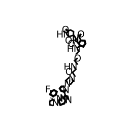 O=C(CNCCOCCNc1cccc2c1C(=O)N(C1CCC(=O)NC1O)C2=O)CN1CCN(c2cccc(-c3cnc4ccc(N5CCC[C@@H]5c5cccc(F)c5)nn34)n2)CC1